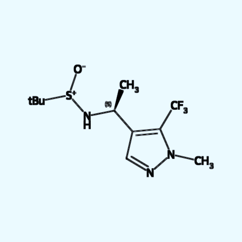 C[C@H](N[S+]([O-])C(C)(C)C)c1cnn(C)c1C(F)(F)F